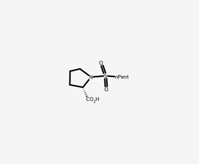 CCCCCS(=O)(=O)N1CCC[C@H]1C(=O)O